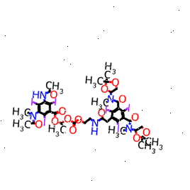 CC(=O)Nc1c(I)c(C(=O)OC(C)OC(=O)OCCNC(=O)Cc2c(I)c(C(=O)N(C)C3COC(C)(C)O3)c(I)c(C(=O)N(C)C3COC(C)(C)O3)c2I)c(I)c(N(C)C(C)=O)c1I